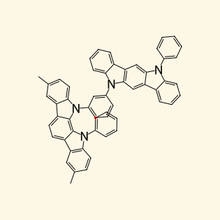 Cc1ccc2c(c1)c1ccc3c4cc(C)ccc4n(-c4cccc(-n5c6ccccc6c6cc7c(cc65)c5ccccc5n7-c5ccccc5)c4)c3c1n2-c1ccccc1